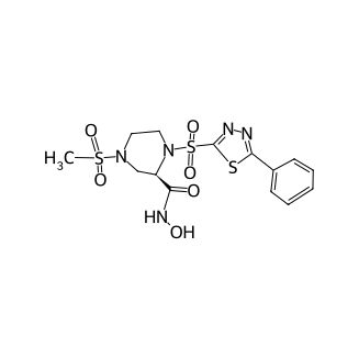 CS(=O)(=O)N1CCN(S(=O)(=O)c2nnc(-c3ccccc3)s2)[C@@H](C(=O)NO)C1